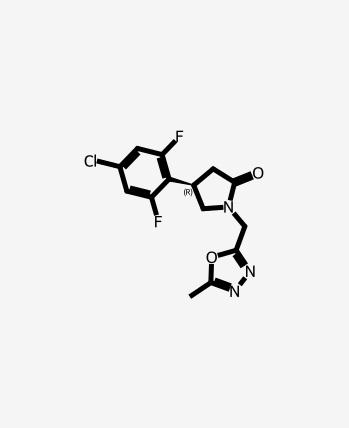 Cc1nnc(CN2C[C@@H](c3c(F)cc(Cl)cc3F)CC2=O)o1